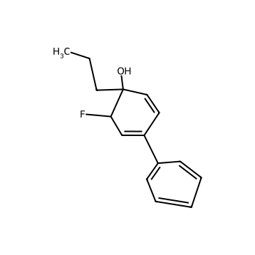 CCCC1(O)C=CC(c2ccccc2)=CC1F